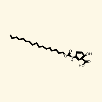 CCCCCCCCCCCCCCCCCOC(=O)Nc1ccc(O)c(C(=O)O)c1